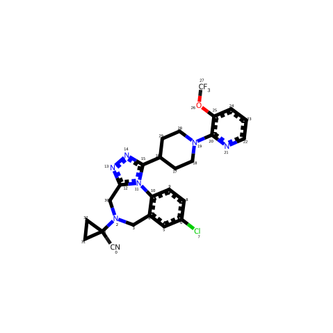 N#CC1(N2Cc3cc(Cl)ccc3-n3c(nnc3C3CCN(c4ncccc4OC(F)(F)F)CC3)C2)CC1